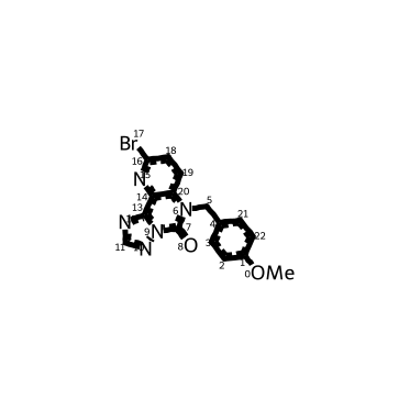 COc1ccc(Cn2c(=O)n3ncnc3c3nc(Br)ccc32)cc1